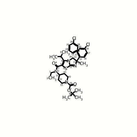 CCN(C(=O)C1=C(C(C)C)N2C(=N[C@@](C)(c3ccc(Cl)cc3)[C@H]2c2ccc(Cl)cc2)S1)C1CCN(C(=O)OC(C)(C)C)CC1